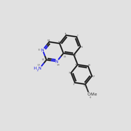 COc1ccc(-c2cccc3cnc(N)nc23)cc1